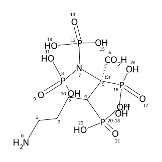 NCCCC([C@@](C(=O)O)(N(P(=O)(O)O)P(=O)(O)O)P(=O)(O)O)P(=O)(O)O